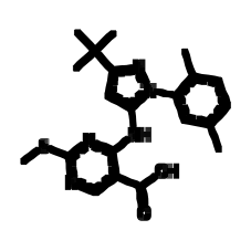 CSc1ncc(C(=O)O)c(Nc2cc(C(C)(C)C)nn2-c2cc(C)ccc2C)n1